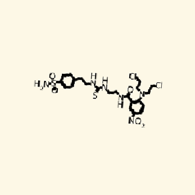 NS(=O)(=O)c1ccc(CCNC(=S)NCCNC(=O)c2cc([N+](=O)[O-])ccc2N(CCCl)CCCl)cc1